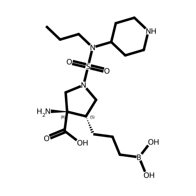 CCCN(C1CCNCC1)S(=O)(=O)N1C[C@H](CCCB(O)O)[C@](N)(C(=O)O)C1